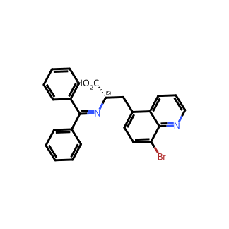 O=C(O)[C@H](Cc1ccc(Br)c2ncccc12)N=C(c1ccccc1)c1ccccc1